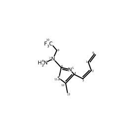 C=C/C=C\c1nc(N(N)CC(F)(F)F)sc1C